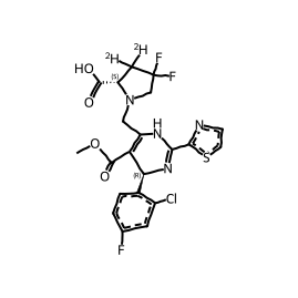 [2H]C1([2H])[C@@H](C(=O)O)N(CC2=C(C(=O)OC)[C@H](c3ccc(F)cc3Cl)N=C(c3nccs3)N2)CC1(F)F